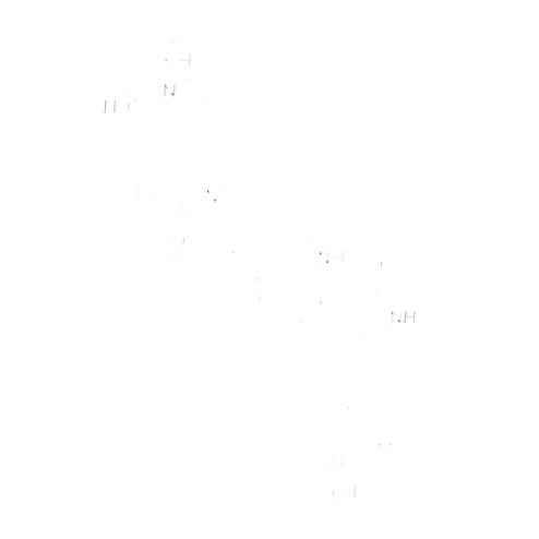 COC(=O)c1ccc2c(c1)NC(=O)/C2=C(\Nc1ccc(N(CCCN(C)C)C(C)=O)cc1)c1cccs1